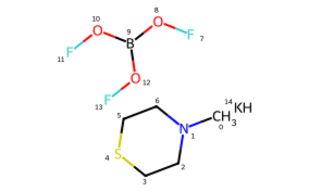 CN1CCSCC1.FOB(OF)OF.[KH]